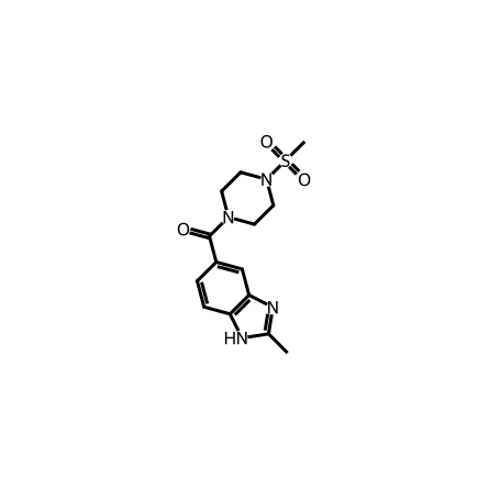 Cc1nc2cc(C(=O)N3CCN(S(C)(=O)=O)CC3)ccc2[nH]1